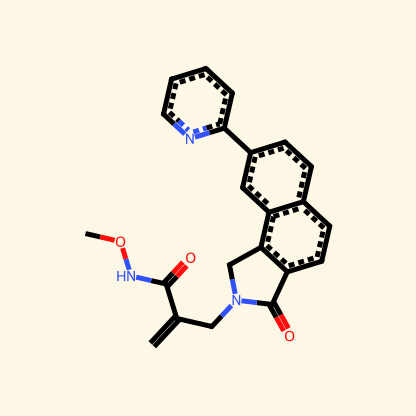 C=C(CN1Cc2c(ccc3ccc(-c4ccccn4)cc23)C1=O)C(=O)NOC